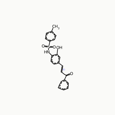 Cc1ccc(S(=O)(=O)Nc2ccc(/C=C/C(=O)c3ccccc3)cc2O)cc1